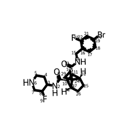 O=C(NC1CCNCC1F)[C@H]1[C@H](C(=O)NCc2ccc(Br)cc2F)[C@@H]2CC[C@H]1C21CC1